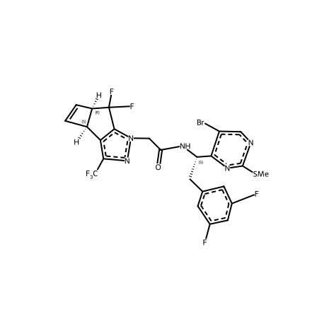 CSc1ncc(Br)c([C@H](Cc2cc(F)cc(F)c2)NC(=O)Cn2nc(C(F)(F)F)c3c2C(F)(F)[C@@H]2C=C[C@H]32)n1